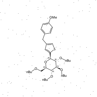 CCCCOC[C@H]1O[C@@H](c2cc(Cc3ccc(OC)cc3)cs2)[C@H](OCCCC)[C@@H](OCCCC)[C@@H]1OCCCC